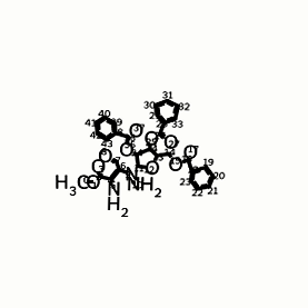 COC(=O)/C(N)=C(\C=O)N(N)C1OC(COC(=O)c2ccccc2)C(OC(=O)c2ccccc2)C1OC(=O)c1ccccc1